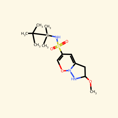 COC1CC2=CC(S(=O)(=O)N[Si](C)(C)C(C)(C)C)=CON2N1